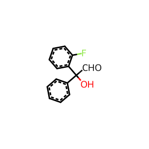 O=CC(O)(c1ccccc1)c1ccccc1F